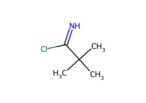 CC(C)(C)C(=N)Cl